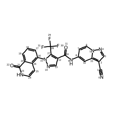 N#Cc1cnn2ccc(NC(=O)c3cnn(-c4cccc5c(=O)[nH]ccc45)c3C(F)(F)F)cc12